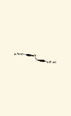 CCCCCC#C[P][P]C#CCCCCC